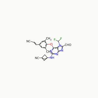 Cc1cc(/C=C/C#N)cc(C)c1Oc1nc(NC23CC(C#N)(C2)C3)nc2nc(C=O)n(C(F)F)c12